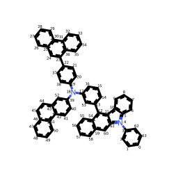 c1ccc(-n2c3ccccc3c3c(-c4cccc(N(c5ccc(-c6cc7ccccc7c7ccccc67)cc5)c5ccc6c(ccc7ccccc76)c5)c4)c4ccccc4cc32)cc1